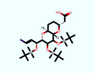 CC(C)(C)[Si](C)(C)OC1C(O[Si](C)(C)C(C)(C)C)[C@H]2O[C@@H](CC(=O)O)CC[C@@H]2O[C@H]1[C@H](/C=C/I)O[Si](C)(C)C(C)(C)C